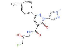 Cn1cc(-n2nc(C3=CC=C(C(F)(F)F)C=CC3)cc(C(=O)NC[C@H](O)CF)c2=O)cn1